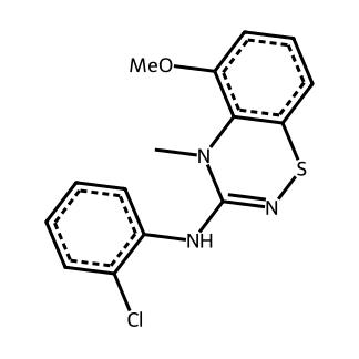 COc1cccc2c1N(C)C(Nc1ccccc1Cl)=NS2